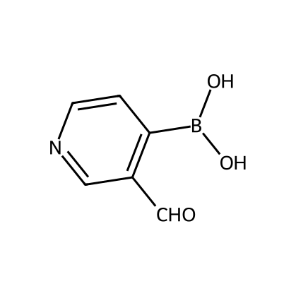 O=Cc1cnccc1B(O)O